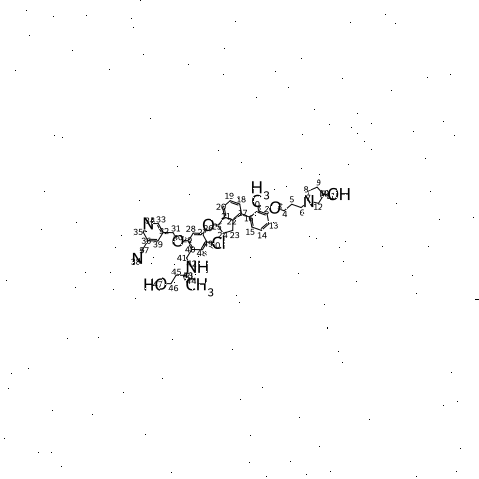 Cc1c(OCCCN2CC[C@@H](O)C2)cccc1-c1cccc2c1CCC2Oc1cc(OCc2cncc(C#N)c2)c(CN[C@H](C)CCO)cc1Cl